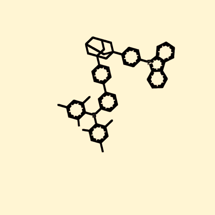 Cc1cc(C)c(B(c2cccc(-c3ccc(C45CC6CC(C4)CC(c4ccc(-p7c8ccccc8c8ccccc87)cc4)(C6)C5)cc3)c2)c2c(C)cc(C)cc2C)c(C)c1